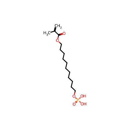 C=C(C)C(=O)OCCCCCCCCCCCOP(=O)(O)O